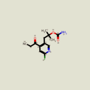 CC(C)(Cc1cnc(F)cc1C(=O)CC#N)OC(N)=O